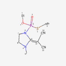 CCCSP(=O)(OCC)N1CCN(C)C1=C(C#N)C#N